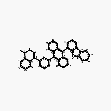 CC1CC=C(c2cccc(-c3c4ccccc4c(-c4cccc5c4oc4ccccc45)c4ccccc34)c2)c2ccccc21